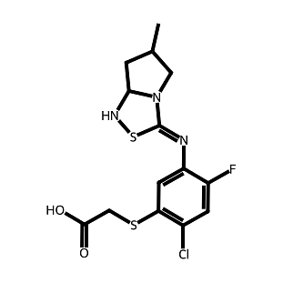 CC1CC2NS/C(=N\c3cc(SCC(=O)O)c(Cl)cc3F)N2C1